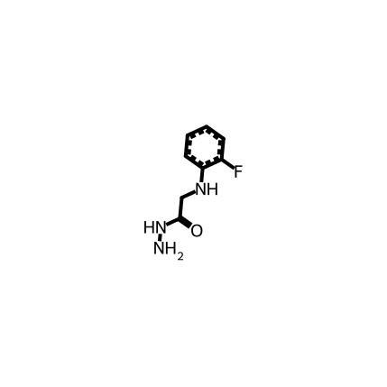 NNC(=O)CNc1ccccc1F